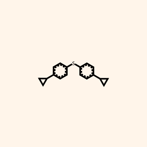 c1cc(C2CC2)ccc1Sc1ccc(C2CC2)cc1